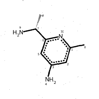 Cc1cc(N)cc([C@@H](C)N)n1